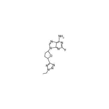 CCn1nnc(C2CCC(n3cnc4c(N)nc(F)nc43)O2)n1